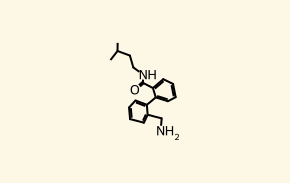 CC(C)CCNC(=O)c1ccccc1-c1ccccc1CN